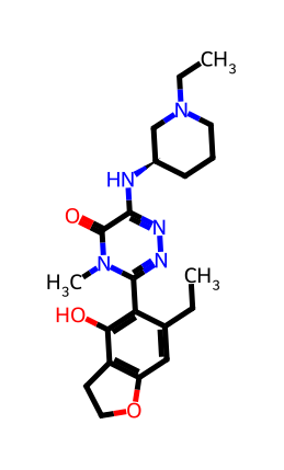 CCc1cc2c(c(O)c1-c1nnc(N[C@@H]3CCCN(CC)C3)c(=O)n1C)CCO2